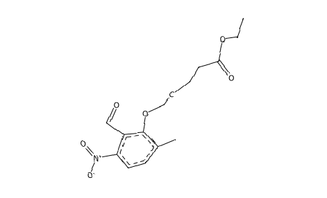 CCOC(=O)CCCCOc1c(C)ccc([N+](=O)[O-])c1C=O